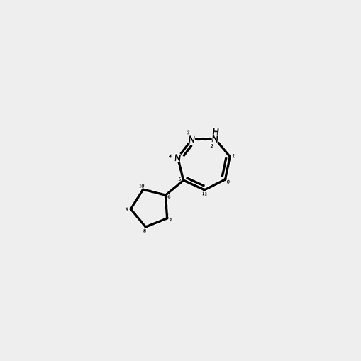 C1=CNN=NC(C2CCCC2)=C1